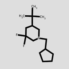 CC(C)(C)C1CN(CC2CCCC2)CC(F)(F)C1